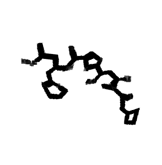 CC[C@@H](C[C@@H](OC(C)=O)c1nc(C(=O)N[C@@H](Cc2ncccn2)C[C@H](C)C(=O)O)cs1)N(C)C(=O)CC1CCC1